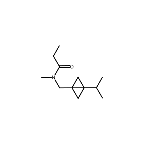 CCC(=O)N(C)CC12CC1(C(C)C)C2